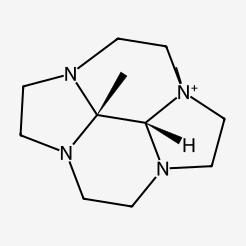 C[C@@]12[C@H]3N4CCN1CCN2CC[N+]3(C)CC4